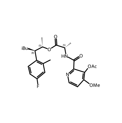 CCC(C)[C@H](c1ccc(F)cc1C)[C@H](C)OC(=O)[C@H](C)NC(=O)c1nccc(OC)c1OC(C)=O